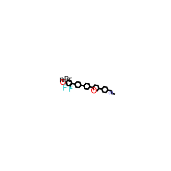 C/C=C/C1CCC(C2CCC(C3CCC(C4CCC(c5ccc(OCCC)c(F)c5F)CC4)CC3)OC2)CC1